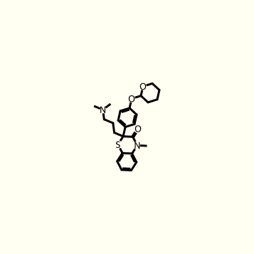 CN(C)CCCC1(c2ccc(OC3CCCCO3)cc2)Sc2ccccc2N(C)C1=O